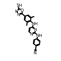 Cc1cc(-c2nnc(S)o2)cc(C)c1Nc1ccnc(Nc2ccc(C#N)cc2)n1